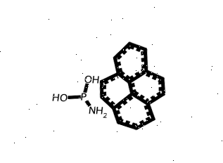 NP(O)O.c1cc2ccc3cccc4ccc(c1)c2c34